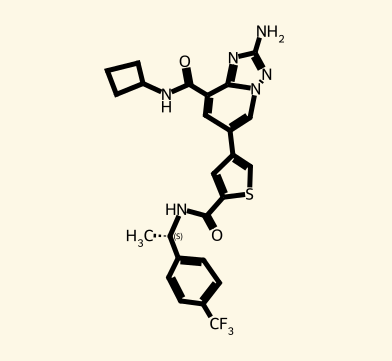 C[C@H](NC(=O)c1cc(-c2cc(C(=O)NC3CCC3)c3nc(N)nn3c2)cs1)c1ccc(C(F)(F)F)cc1